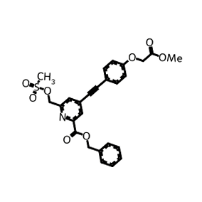 COC(=O)COc1ccc(C#Cc2cc(COS(C)(=O)=O)nc(C(=O)OCc3ccccc3)c2)cc1